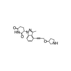 Cc1nn(C2CCC(=O)NC2=O)c2cccc(C#CCO[C@H]3CCNC3)c12